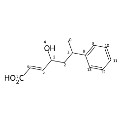 CC(CC(O)C=CC(=O)O)c1ccccc1